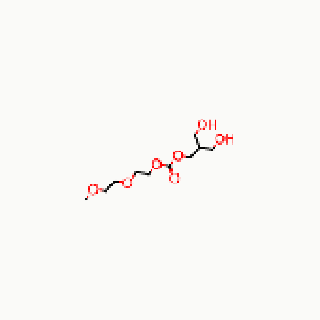 COCCOCCOC(=O)OCC(CO)CO